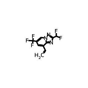 C=Cc1cc(C(F)(F)F)cn2nc(C(F)F)nc12